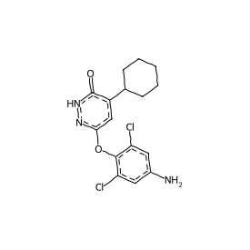 Nc1cc(Cl)c(Oc2cc(C3CCCCC3)c(=O)[nH]n2)c(Cl)c1